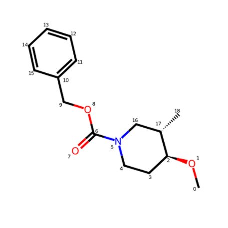 CO[C@H]1CCN(C(=O)OCc2ccccc2)C[C@@H]1C